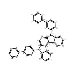 c1ccc(-c2ccc(-n3c4ccccc4c4c5c6ccccc6n(-c6cccc(-c7ccccc7)c6)c5ccc43)cc2)cc1